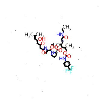 C=CCNC(=O)/C=C/[C@@H](C)[C@H](OC(=O)[C@H]1CCCN1C(=O)c1coc(CC(=O)C[C@H](O)C=C(C)C)n1)[C@@H](C)COC(=O)Nc1ccc(C(F)(F)F)cc1